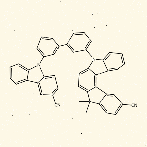 CC1(C)c2ccc(C#N)cc2-c2c1ccc1c2c2ccccc2n1-c1cccc(-c2cccc(-n3c4ccccc4c4cc(C#N)ccc43)c2)c1